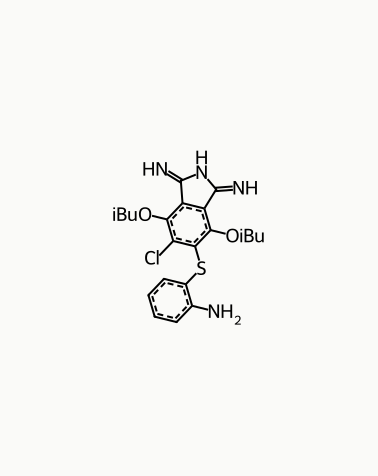 CC(C)COc1c(Cl)c(Sc2ccccc2N)c(OCC(C)C)c2c1C(=N)NC2=N